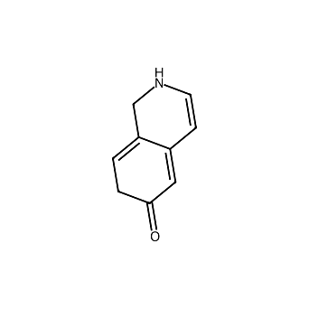 O=C1C=C2C=CNCC2=CC1